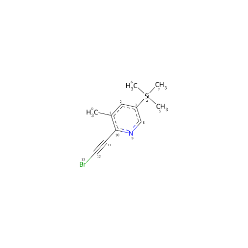 Cc1cc([Si](C)(C)C)cnc1C#CBr